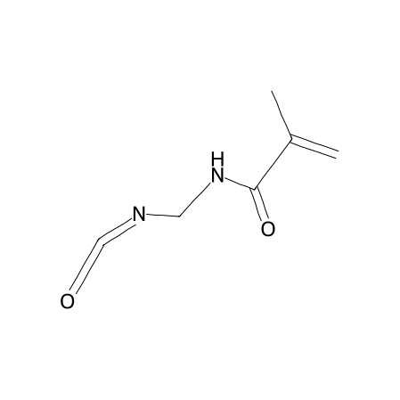 C=C(C)C(=O)NCN=C=O